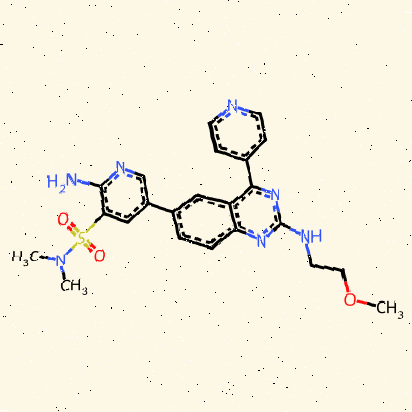 COCCNc1nc(-c2ccncc2)c2cc(-c3cnc(N)c(S(=O)(=O)N(C)C)c3)ccc2n1